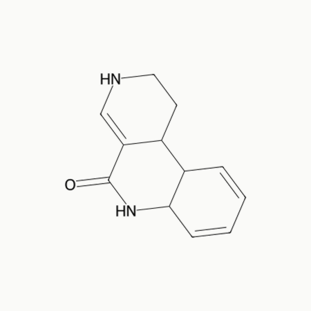 O=C1NC2C=CC=CC2C2CCNC=C12